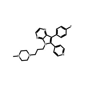 CN1CCN(CCCn2c(-c3ccncc3)c(-c3ccc(F)cc3)c3nccnc32)CC1